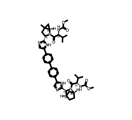 COC(=O)N[C@H](C(=O)N1[C@@H]2CC[C@@H](C2)[C@H]1c1ncc(-c2ccc(-c3ccc(-c4cnc([C@@H]5CC6(C)C[C@@H]6N5C(=O)[C@@H](NC(=O)OC)C(C)C)[nH]4)cc3)cc2)[nH]1)C(C)C